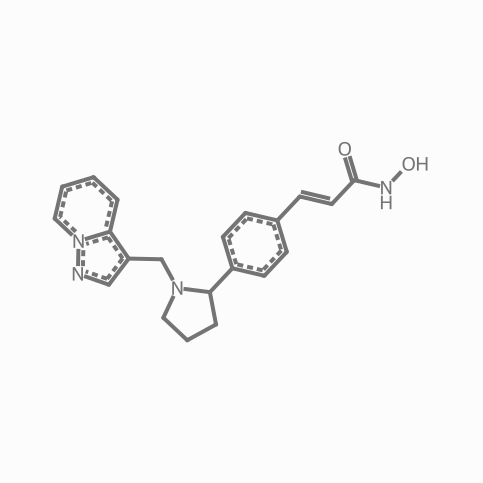 O=C(/C=C/c1ccc(C2CCCN2Cc2cnn3ccccc23)cc1)NO